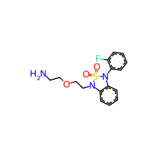 NCCOCCN1c2ccccc2N(c2ccccc2F)S1(=O)=O